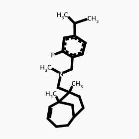 CC(C)c1ccc(CN(C)CC2(C)CCC3CCC=CC2(C)C3)c(F)c1